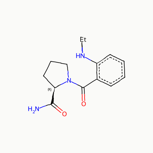 CCNc1ccccc1C(=O)N1CCC[C@@H]1C(N)=O